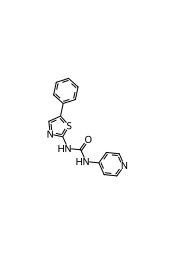 O=C(Nc1ccncc1)Nc1ncc(-c2ccccc2)s1